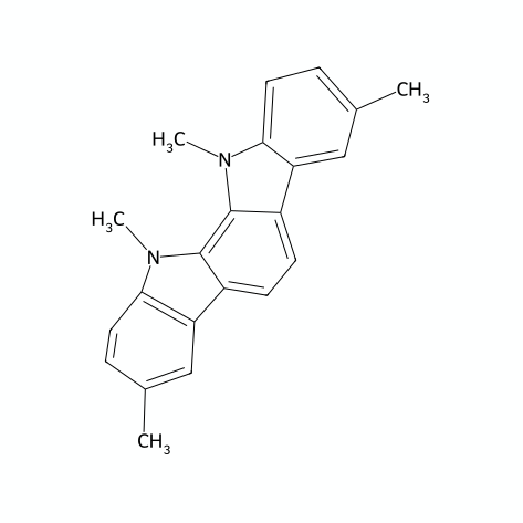 Cc1ccc2c(c1)c1ccc3c4cc(C)ccc4n(C)c3c1n2C